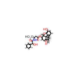 O=C(C[C@H](NC(=O)[C@@H](O)c1ccccc1)C(=O)O)OC1=CC[C@]2(O)[C@H]3CCC[C@]24c2c(ccc(O)c2O[C@H]14)C3